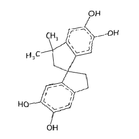 CC1(C)CC2(CCc3cc(O)c(O)cc32)c2cc(O)c(O)cc21